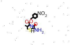 CC1=C(C(=O)OCc2ccc([N+](=O)[O-])cc2)N2C(=O)C(N)[C@@H]2SC1